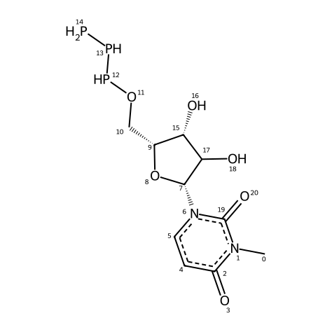 Cn1c(=O)ccn([C@@H]2O[C@H](COPPP)[C@H](O)C2O)c1=O